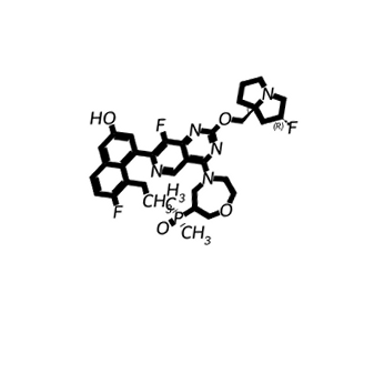 CCc1c(F)ccc2cc(O)cc(-c3ncc4c(N5CCOCC(P(C)(C)=O)C5)nc(OC[C@@]56CCCN5C[C@H](F)C6)nc4c3F)c12